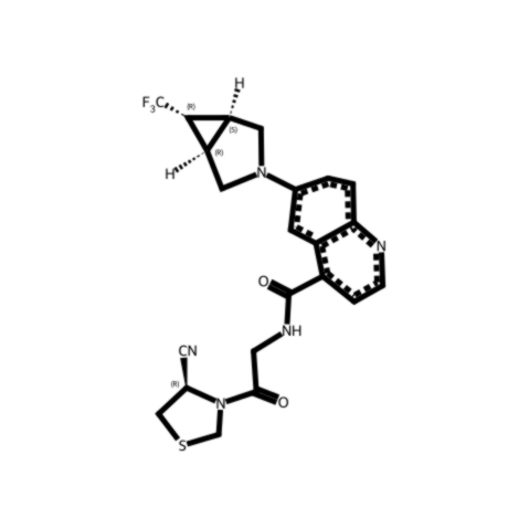 N#C[C@@H]1CSCN1C(=O)CNC(=O)c1ccnc2ccc(N3C[C@@H]4[C@H](C3)[C@H]4C(F)(F)F)cc12